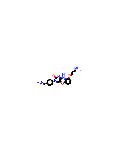 NCCCOc1cccc2c1Nc1nc(=O)n([C@H]3CC[C@H](CN)CC3)cc1O2